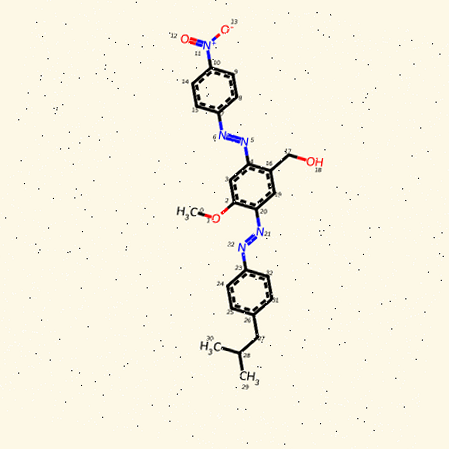 COc1cc(N=Nc2ccc([N+](=O)[O-])cc2)c(CO)cc1N=Nc1ccc(CC(C)C)cc1